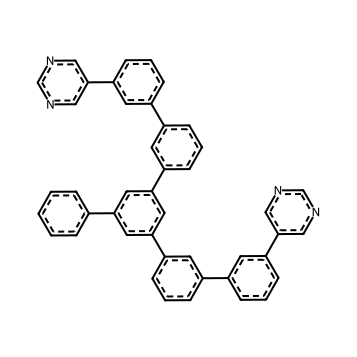 c1ccc(-c2cc(-c3cccc(-c4cccc(-c5cncnc5)c4)c3)cc(-c3cccc(-c4cccc(-c5cncnc5)c4)c3)c2)cc1